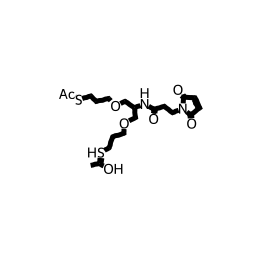 CC(=O)SCCCOCC(COCCC[SH]=C(C)O)NC(=O)CCN1C(=O)C=CC1=O